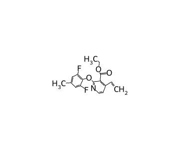 C=Cc1ccnc(Oc2c(F)cc(C)cc2F)c1C(=O)OCC